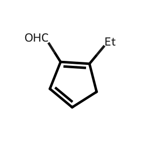 CCC1=C(C=O)C=CC1